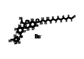 CCCCCCCCCCCCCCOc1ccc(CN(C(=O)CC)c2cccc(C[n+]3csc(C)c3)c2)cc1.[Br-]